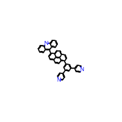 c1ccc2c(-c3ccc4ccc5c(-c6cc(-c7ccncc7)cc(-c7ccncc7)c6)ccc6ccc3c4c65)c3ccccc3nc2c1